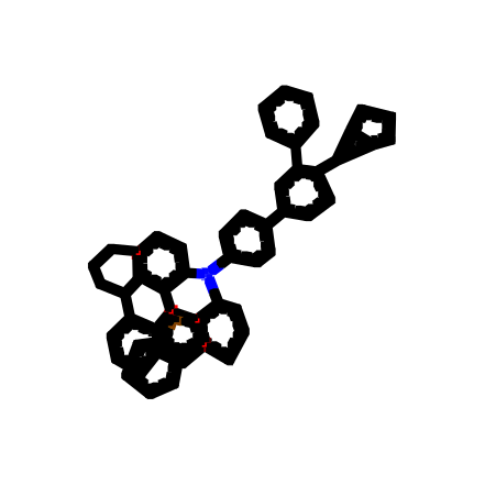 c1ccc(-c2cc(-c3ccc(N(c4ccccc4-c4cccc5cccc(C6CCCCC6)c45)c4cccc5c4sc4ccccc45)cc3)ccc2-c2c3cccc2-3)cc1